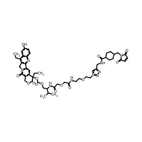 CCc1c2c(nc3ccc(O)cc13)-c1cc3c(c(=O)n1C2)COC(=O)C3(CC)OC(=O)OCC(NC(=O)COCC(=O)NCCOCCn1cc(CNC(=O)C2CCC(CN3C(=O)C=CC3=O)CC2)nn1)C(C)C